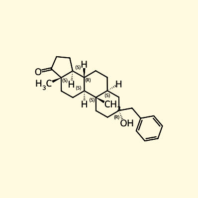 C[C@]12CC[C@](O)(Cc3ccccc3)C[C@@H]1CC[C@@H]1[C@@H]2CC[C@]2(C)C(=O)CC[C@@H]12